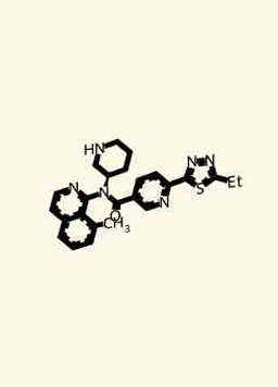 CCc1nnc(-c2ccc(C(=O)N(c3nccc4cccc(C)c34)[C@@H]3CCCNC3)cn2)s1